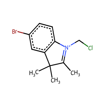 CC1=[N+](CCl)c2ccc(Br)cc2C1(C)C